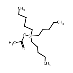 CCCCC[Si](CCCCC)(CCCCC)OC(C)=O